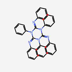 c1ccc(N=c2n(-c3ccccc3)c(=Nc3ccccc3)n(-c3ccccc3)c(=Nc3ccccc3)n2-c2ccccc2)cc1